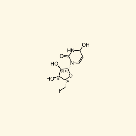 O=C1NC(O)C=CN1[C@@H]1O[C@H](CI)[C@@H](O)[C@H]1O